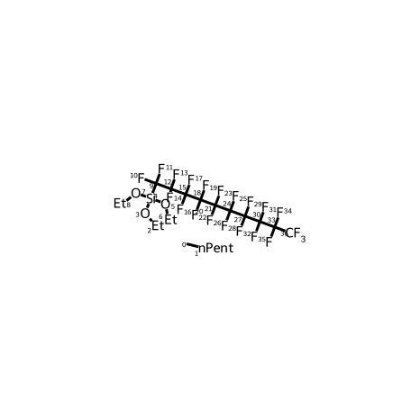 CCCCCC.CCO[Si](OCC)(OCC)C(F)(F)C(F)(F)C(F)(F)C(F)(F)C(F)(F)C(F)(F)C(F)(F)C(F)(F)C(F)(F)C(F)(F)F